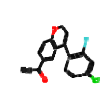 COC(=O)c1ccc2c(c1)C(c1ccc(Cl)cc1F)=CCO2